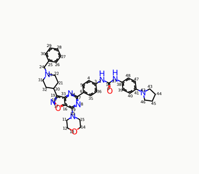 O=C(Nc1ccc(-c2nc(N3CCOCC3)c3onc(C4CCN(Cc5ccccc5)CC4)c3n2)cc1)Nc1ccc(N2CCCC2)cc1